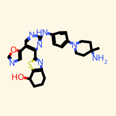 CC1(N)CCN(c2ccc(Nc3ncc(-c4cnco4)c(-c4nc5c(s4)C(O)CCC5)n3)cc2)CC1